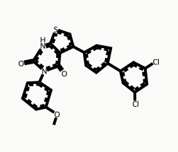 COc1cccc(-n2c(=O)[nH]c3scc(-c4ccc(-c5cc(Cl)cc(Cl)c5)cc4)c3c2=O)c1